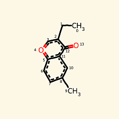 CCc1coc2ccc(C)cc2c1=O